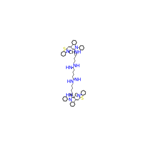 C[n+]1c(C=C2C=C(NCCCCCNC(=N)CCCCC(=N)NCCCCCNC3=CC(=Cc4sc5ccccc5[n+]4C)c4ccccc4N3c3ccccc3)N(c3ccccc3)c3ccccc32)sc2ccccc21